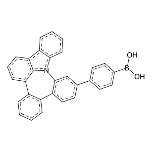 OB(O)c1ccc(-c2ccc3c(c2)-n2c4ccccc4c4cccc(c42)-c2ccccc2-3)cc1